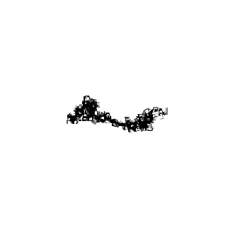 Cc1ncsc1-c1ccc(CNC(=O)C2CCCN2C(=O)C(NC(=O)c2ccc(OCCOCCCOc3ncc(N4C(=S)N(c5ccc(C#N)c(C(F)(F)F)c5F)C(=O)C4(C)C)cc3F)cc2)C(C)(C)C)cc1